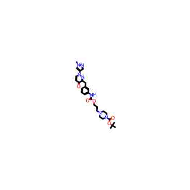 Cn1cc(-n2ccc(=O)c(Cc3cccc(NC(=O)OCCCN4CCN(C(=O)OC(C)(C)C)CC4)c3)n2)cn1